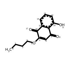 CCCCOC1=CC(=O)c2c(O)cccc2C1=O